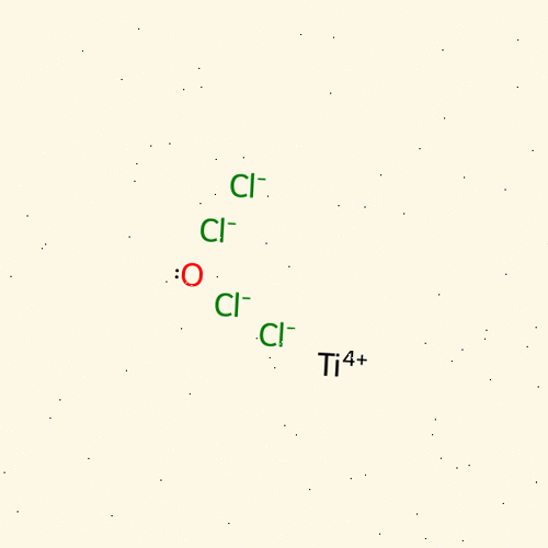 [Cl-].[Cl-].[Cl-].[Cl-].[O].[Ti+4]